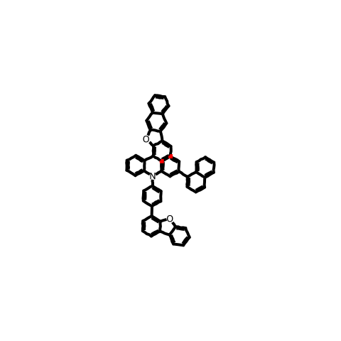 c1cc(-c2cccc3ccccc23)cc(N(c2ccc(-c3cccc4c3oc3ccccc34)cc2)c2ccccc2-c2cccc3c2oc2cc4ccccc4cc23)c1